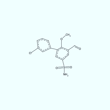 COc1c(C=O)cc(S(N)(=O)=O)cc1-c1cccc(Cl)c1